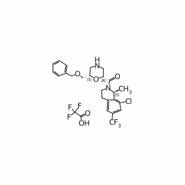 C[C@H]1c2c(Cl)cc(C(F)(F)F)cc2CCN1C(=O)[C@H]1CNC[C@@H](COCc2ccccc2)O1.O=C(O)C(F)(F)F